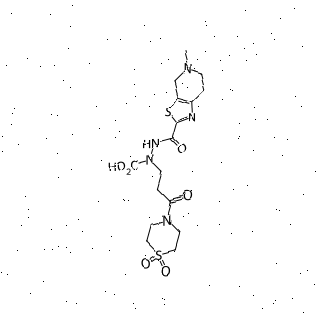 CN1CCc2nc(C(=O)NN(CCC(=O)N3CCS(=O)(=O)CC3)C(=O)O)sc2C1